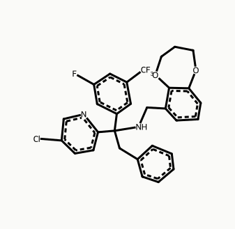 Fc1cc(C(F)(F)F)cc(C(Cc2ccccc2)(NCc2cccc3c2OCCCO3)c2ccc(Cl)cn2)c1